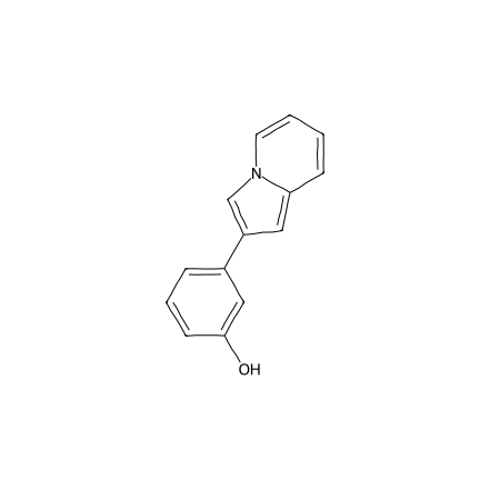 Oc1cccc(-c2cc3ccccn3c2)c1